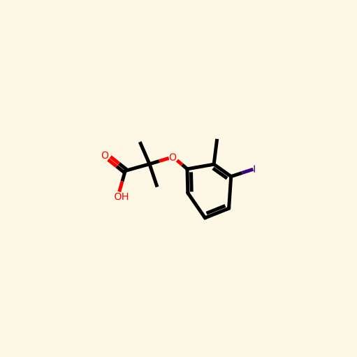 Cc1c(I)cccc1OC(C)(C)C(=O)O